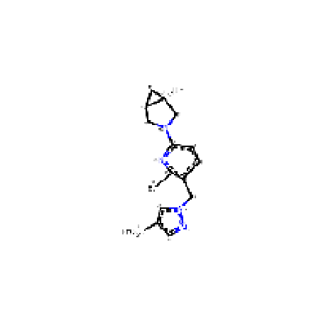 CCOC(=O)c1cnn(Cc2ccc(N3CC4C[C@H]4C3)nc2CC)c1